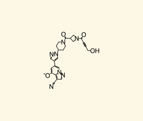 COc1cc(-c2cnn(C3CCN(C(=O)C4CN(C(=O)C#CCO)C4)CC3)c2)cn2ncc(C#N)c12